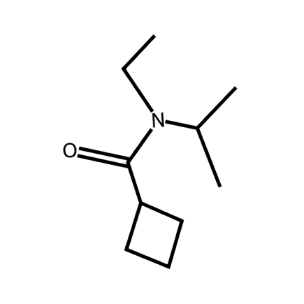 CCN(C(=O)C1CCC1)C(C)C